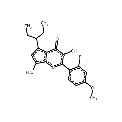 CCC(CC)c1cc(C)n2nc(-c3ccc(OC)cc3F)n(C)c(=O)c12